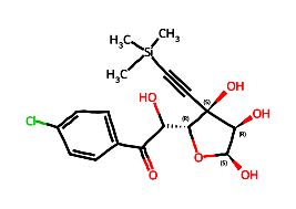 C[Si](C)(C)C#C[C@@]1(O)[C@@H](C(O)C(=O)c2ccc(Cl)cc2)O[C@H](O)[C@@H]1O